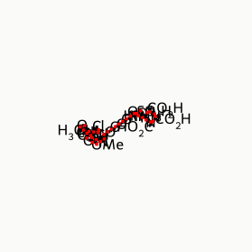 COc1cc2c(cc1-c1cncc(NCCOCCOCCOCCOCCNC(=O)[C@H](CS(=O)(=O)O)NC(=O)CN3CCN(CC(=O)O)CCN(CC(=O)O)CCN(CC(=O)O)CC3)c1)-c1c(c(C(=O)N3CCOCC3(C)C)nn1-c1cc(Cl)cc(Cl)c1)CO2